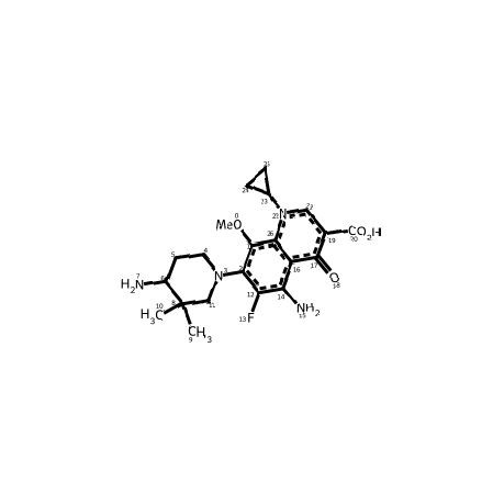 COc1c(N2CCC(N)C(C)(C)C2)c(F)c(N)c2c(=O)c(C(=O)O)cn(C3CC3)c12